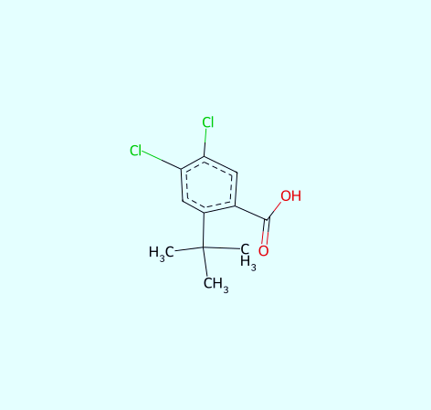 CC(C)(C)c1cc(Cl)c(Cl)cc1C(=O)O